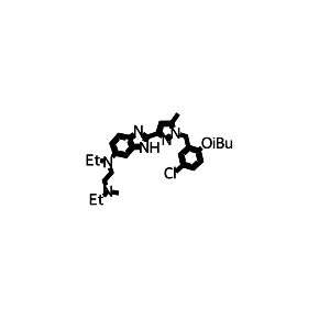 CCN(C)CCN(CC)c1ccc2nc(-c3cc(C)n(Cc4cc(Cl)ccc4OCC(C)C)n3)[nH]c2c1